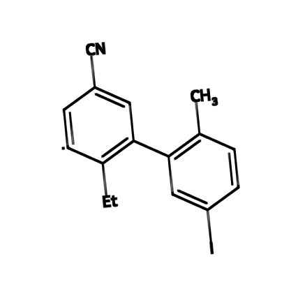 CCc1[c]cc(C#N)cc1-c1cc(I)ccc1C